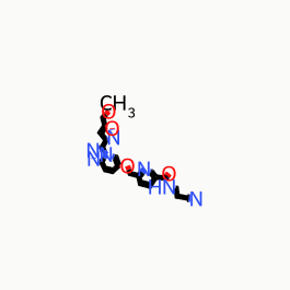 COCc1cc(-c2nnc3ccc(OCc4ccc(C(=O)NCCC#N)cn4)cn23)no1